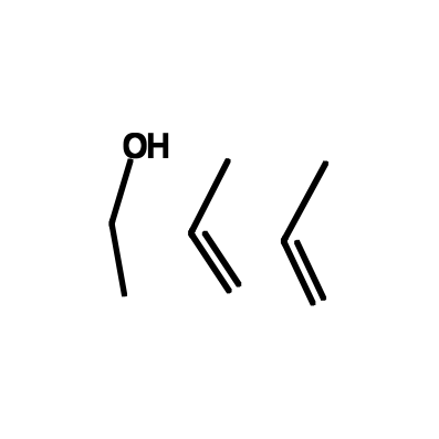 C=CC.C=CC.CCO